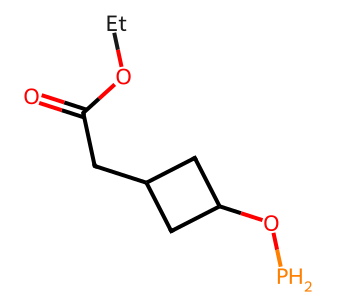 CCOC(=O)CC1CC(OP)C1